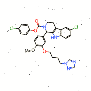 COc1ccc(C2c3[nH]c4ccc(Cl)cc4c3CCN2C(=O)Oc2ccc(Cl)cc2)cc1OCCCCn1cncn1